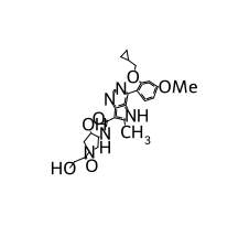 COc1ccc(-c2ncnc3c(C(=O)N[C@@H]4CN(C(=O)CO)C[C@@H]4O)c(C)[nH]c23)c(OCC2CC2)c1